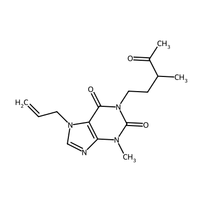 C=CCn1cnc2c1c(=O)n(CCC(C)C(C)=O)c(=O)n2C